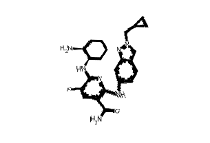 NC(=O)c1cc(F)c(N[C@@H]2CCCC[C@@H]2N)nc1Nc1ccc2cn(CC3CC3)nc2c1